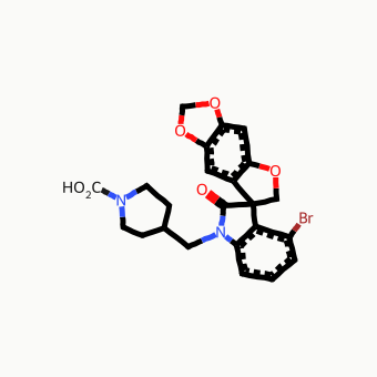 O=C(O)N1CCC(CN2C(=O)C3(COc4cc5c(cc43)OCO5)c3c(Br)cccc32)CC1